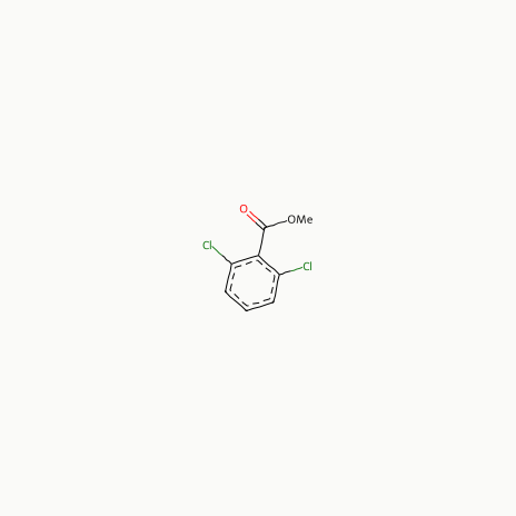 COC(=O)c1c(Cl)cccc1Cl